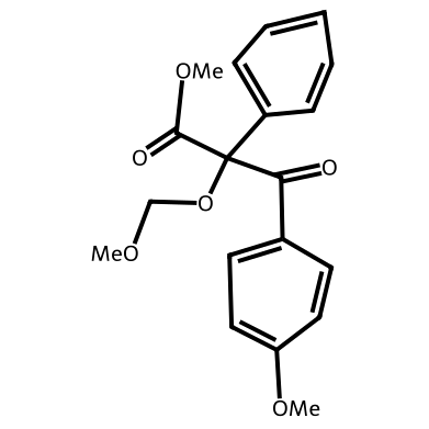 COCOC(C(=O)OC)(C(=O)c1ccc(OC)cc1)c1ccccc1